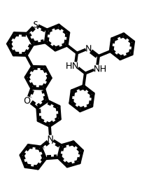 c1ccc(C2=NC(c3ccc4sc5cccc(-c6ccc7c(c6)oc6cc(-n8c9ccccc9c9ccccc98)ccc67)c5c4c3)NC(c3ccccc3)N2)cc1